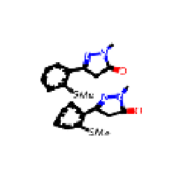 CSc1ccccc1C1=NN(C)C(=O)C1.CSc1ccccc1C1=NN(C)C(=O)C1